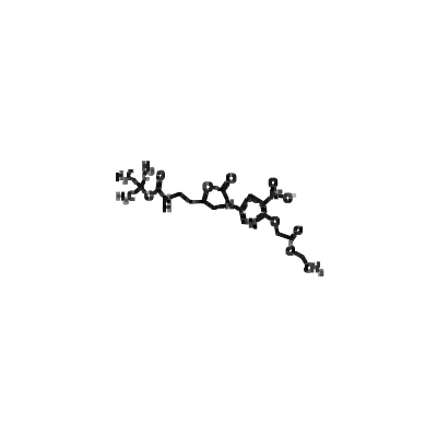 CCOC(=O)COc1ncc(N2CC(CCNC(=O)OC(C)(C)C)OC2=O)cc1[N+](=O)[O-]